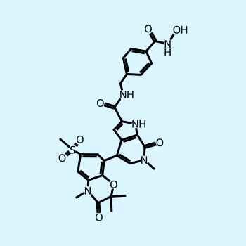 CN1C(=O)C(C)(C)Oc2c(-c3cn(C)c(=O)c4[nH]c(C(=O)NCc5ccc(C(=O)NO)cc5)cc34)cc(S(C)(=O)=O)cc21